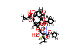 CC(=O)O[C@@]12CO[C@@H]1C[C@H](O)[C@@]1(C)C(=O)[C@H](OC(=O)C3CC3)C3=C(C)[C@@H](OC(=O)[C@H](O)[C@@H](NC(=O)OC4CCCC4)c4cccs4)C[C@@](O)([C@@H](OC(=O)c4ccccc4)C12)C3(C)C